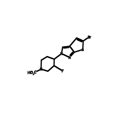 O=C(O)N1CCC(n2cc3cc(Br)sc3n2)C(F)C1